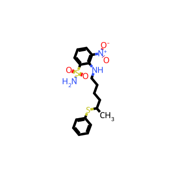 CC(CCCCNc1c([N+](=O)[O-])cccc1S(N)(=O)=O)Sc1ccccc1